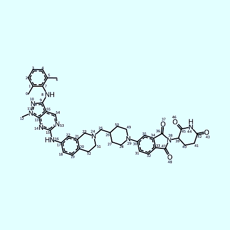 Cc1cccc(C)c1Nc1nn(C)c2nc(Nc3ccc4c(c3)CN(CC3CCN(c5ccc6c(c5)C(=O)N(C5CCC(=O)NC5=O)C6=O)CC3)CC4)ncc12